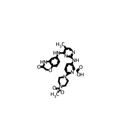 Cc1cnc(Nc2ccc(N3CCN(S(C)(=O)=O)CC3)nc2)nc1Nc1ccc2c(c1)NC(=O)CO2.O=CO